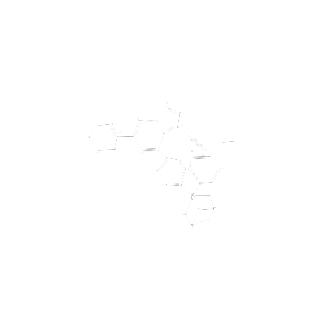 COc1ccc(CN2C3CC2CN(c2ccc(-c4cc(C5=COCCC5)cn5ncc(C#N)c45)cn2)C3)cn1